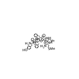 CSCC[C@H](NC(=O)[C@H](CC(C)C)NC(=O)[C@@H]1CCCN1C(=O)[C@H](Cc1ccccc1)NC(=O)[C@H](Cc1ccccc1)NC(=O)[C@@H]1CCCN1C(=O)[C@@H](N)Cc1ccc(O)cc1)C(N)=O